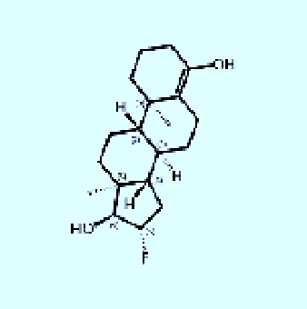 C[C@]12CC[C@H]3[C@@H](CCC4=C(O)CCC[C@@]43C)[C@@H]1C[C@H](F)[C@H]2O